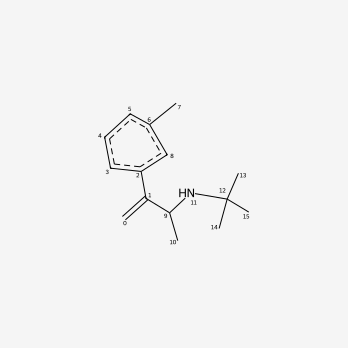 C=C(c1cccc(C)c1)C(C)NC(C)(C)C